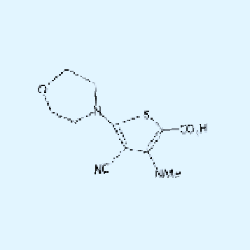 CNc1c(C(=O)O)sc(N2CCOCC2)c1C#N